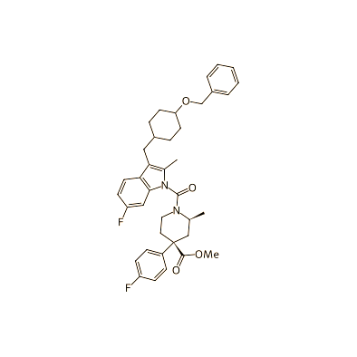 COC(=O)[C@@]1(c2ccc(F)cc2)CCN(C(=O)n2c(C)c(CC3CCC(OCc4ccccc4)CC3)c3ccc(F)cc32)[C@@H](C)C1